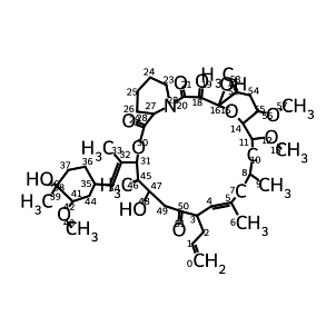 C=CCC1/C=C(\C)CC(C)CC(OC)C2OC(O)(C(=O)C(=O)N3CCCCC3C(=O)OC(C(C)=CC3CCC(C)(O)C(OC)C3)C(C)C(O)CC1=O)C(C)CC2OC